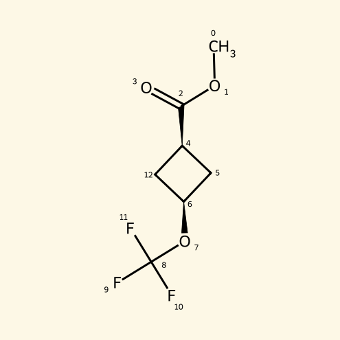 COC(=O)[C@H]1C[C@@H](OC(F)(F)F)C1